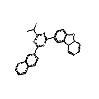 CC(C)c1nc(-c2ccc3c(c2)C2C=CC=CC2O3)nc(-c2ccc3ccccc3c2)n1